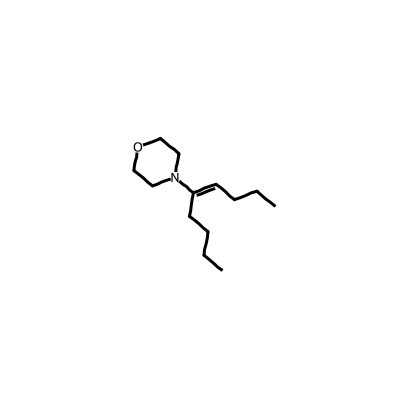 CCCC=C(CCCC)N1CCOCC1